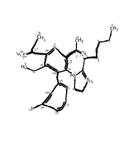 CCCCCC1=NCC[SH]1c1c(C(C)C)nc(C(C)C)c(CO)c1-c1cccc(F)c1